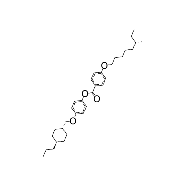 CCC[C@H]1CC[C@H](COc2ccc(OC(=O)c3ccc(OCCCCC[C@@H](C)CC)cc3)cc2)CC1